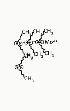 CCCCCCP(=O)([O-])CCCCCC.CCCCCCP(=O)([O-])CCCCCC.CCCCCCP(=O)([O-])CCCCCC.CCCCCCP(=O)([O-])CCCCCC.[Mo+4]